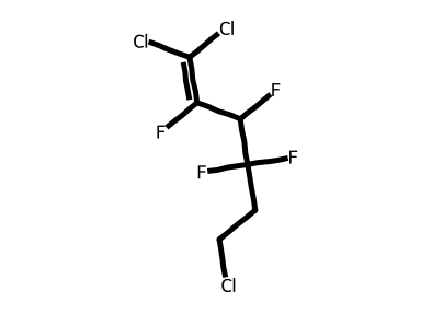 FC(=C(Cl)Cl)C(F)C(F)(F)CCCl